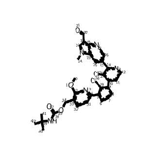 COc1nc(-c2cccc(-c3ccnc(-c4cnc5c(C=O)cn(C)c5c4)c3Cl)c2Cl)ccc1COC(=O)NC(C)(C)C